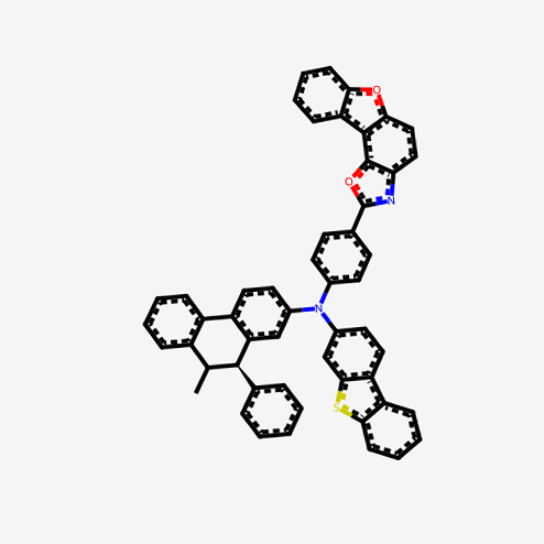 CC1c2ccccc2-c2ccc(N(c3ccc(-c4nc5ccc6oc7ccccc7c6c5o4)cc3)c3ccc4c(c3)sc3ccccc34)cc2[C@H]1c1ccccc1